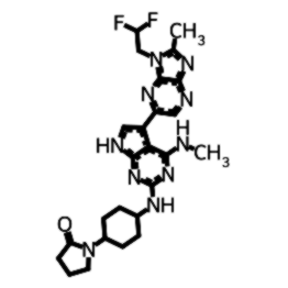 CNc1nc(NC2CCC(N3CCCC3=O)CC2)nc2[nH]cc(-c3cnc4nc(C)n(CC(F)F)c4n3)c12